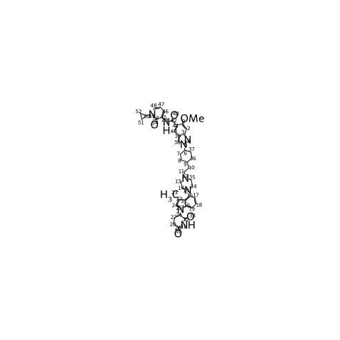 COc1cc2nn(C3CCC(CCN4CCN(c5cccc6c5c(C)cn6C5CCC(=O)NC5=O)CC4)CC3)cc2cc1C(=O)Nc1cccn(C2CC2)c1=O